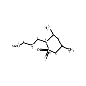 COCOCN1C(C)CC(C)CS1(=O)=O